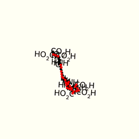 Nc1nc(Nc2ccc(CC3CN(CC(=O)O)CCN(CC(=O)O)CCN(CC(=O)O)CCN3CC(=O)O)cc2)nc(N2CCN(CCCCCCCCCCC(=O)NCCCC[C@H](NC(=O)N[C@@H](CCC(=O)O)C(=O)O)C(=O)O)CC2)n1